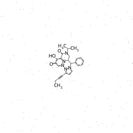 CCC#Cc1ccn(C(c2ccccc2)C2CN(C(C)C)C(=O)c3c(O)c(=O)cnn32)n1